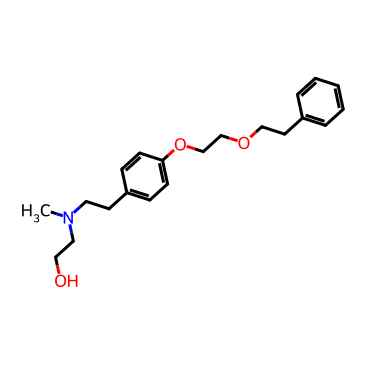 CN(CCO)CCc1ccc(OCCOCCc2ccccc2)cc1